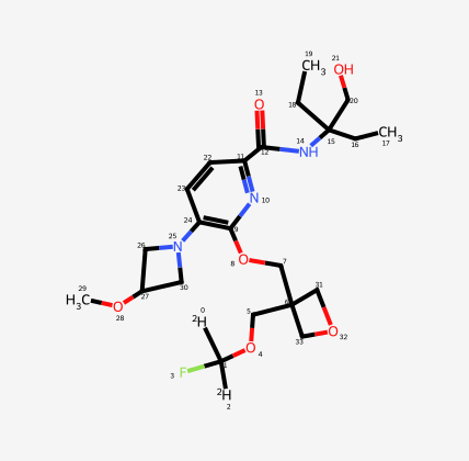 [2H]C([2H])(F)OCC1(COc2nc(C(=O)NC(CC)(CC)CO)ccc2N2CC(OC)C2)COC1